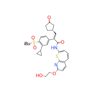 CCC(C)S(=O)(=O)c1ccc(/C(=C\[C@H]2CCC(=O)C2)C(=O)NC2=CC=Cc3ccc(OCCO)nc3S2)cc1C1CC1